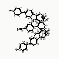 Cc1ccc(-c2ccc3c4ccccc4n(-c4cc(C#N)cc(-n5c6ccccc6c6ccc(-c7ccc(C)cc7)cc65)c4-c4cc(C(F)(F)F)cc(C(F)(F)F)c4)c3c2)cc1